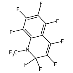 FC1=C(F)C(F)(F)N(C(F)(F)F)c2c(F)c(F)c(F)c(F)c21